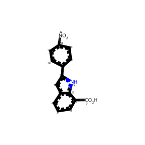 O=C(O)c1cccc2cc(-c3ccc([N+](=O)[O-])cc3)[nH]c12